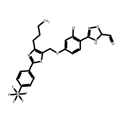 CCCCc1nc(-c2ccc(S(F)(F)(F)(F)F)cc2)sc1COc1ccc(C2=NOC(C=O)N2)c(Cl)c1